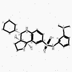 CN(C)c1cccc(NS(=O)(=O)c2ccc3c(c2)[C@H]2OCC[C@H]2[C@H](C2CCCCC2)N3)c1